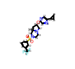 O=S(=O)(c1cccc(C(F)(F)F)c1)N1CCN2C[C@@H](Oc3cnc(C4CC4)cn3)C[C@@H]2C1